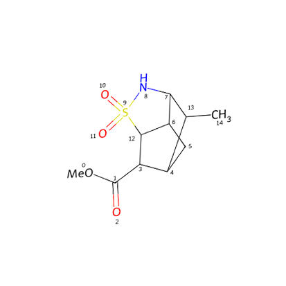 COC(=O)C1C2CC3C(NS(=O)(=O)C31)C2C